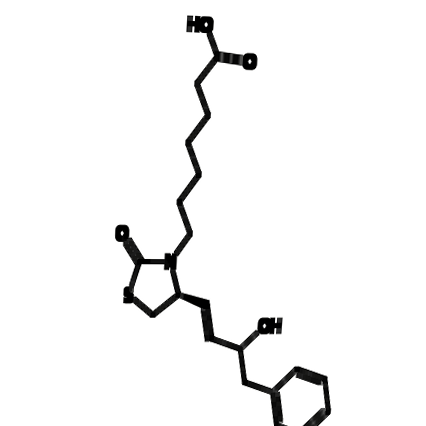 O=C(O)CCCCCCN1C(=O)SC[C@@H]1/C=C/C(O)Cc1ccccc1